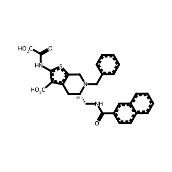 O=C(O)C(=O)Nc1sc2c(c1C(=O)O)C[C@@H](CNC(=O)c1ccc3ccccc3c1)N(Cc1ccccc1)C2